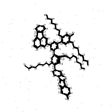 CCCCCCCCc1cc(-c2cc(C3=CC4c5ccccc5C5=CC=CC(=C3)C54)cc(-c3cc(CCCCCCCC)c(-c4ccc5c(c4)sc4c6ccc(C)cc6sc54)cc3CCCCCCCC)c2)c(CCCCCCCC)cc1C